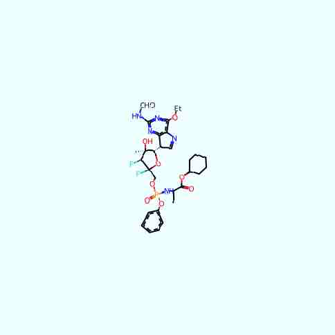 CCOc1nc(NC=O)nc2c1N=CC2[C@@H]1O[C@](F)(COP(=O)(NC(C)C(=O)OC2CCCCC2)Oc2ccccc2)[C@@H](F)[C@@]1(C)O